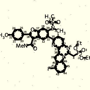 CCOP(=O)(Cc1nc2ccc(-c3cc4c(C(=O)NC)c(-c5ccc(C)cc5)oc4cc3N(C)S(C)(=O)=O)nc2c2cc3c(F)cccc3n12)OCC